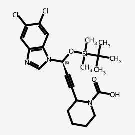 CC(C)(C)[Si](C)(C)O[C@@H](C#CC1CCCCN1C(=O)O)n1cnc2cc(Cl)c(Cl)cc21